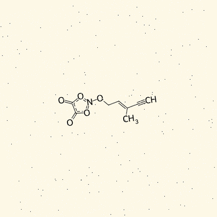 C#C/C(C)=C/COn1oc(=O)c(=O)o1